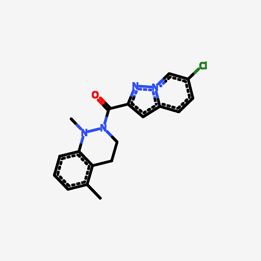 Cc1cccc2c1CCN(C(=O)c1cc3ccc(Cl)cn3n1)N2C